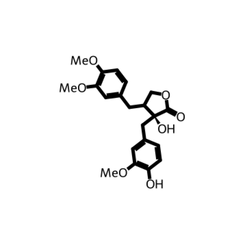 COc1cc(C[C@@]2(O)C(=O)OCC2Cc2ccc(OC)c(OC)c2)ccc1O